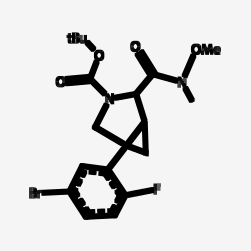 CON(C)C(=O)C1C2CC2(c2cc(Br)ccc2F)CN1C(=O)OC(C)(C)C